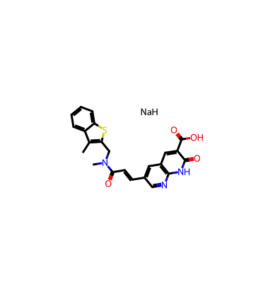 Cc1c(CN(C)C(=O)C=Cc2cnc3[nH]c(=O)c(C(=O)O)cc3c2)sc2ccccc12.[NaH]